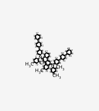 Cc1ccc(N(c2ccc(-c3ccc(-c4ccccc4)cc3)cc2)c2cc3c4cc(C)ccc4c(N(c4ccc(-c5ccc(-c6ccccc6)cc5)cc4)c4ccc(C)cc4C)cc3c3ccccc23)c(C)c1